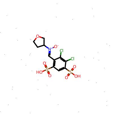 O=S(=O)(O)c1cc(S(=O)(=O)O)c(C=[N+]([O-])C2CCOC2)c(Cl)c1Cl